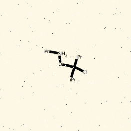 CC(C)[SiH2]OC(Cl)(C(C)C)C(C)C